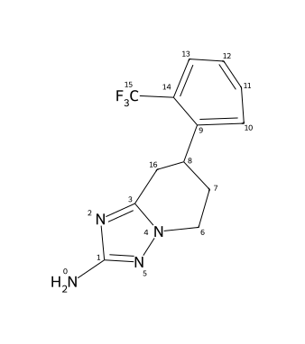 Nc1nc2n(n1)CCC(c1ccccc1C(F)(F)F)C2